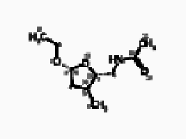 CCO[C@H]1C[C@H](C)[C@@H](CNC(C)=O)O1